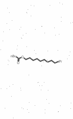 CCCCC(=O)OCCCCCCCCCC(C)C